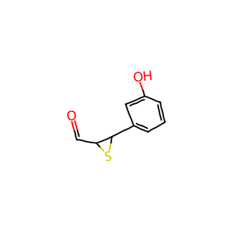 O=CC1SC1c1cccc(O)c1